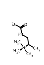 CCC(=O)NCC(C)[N+](C)(C)C